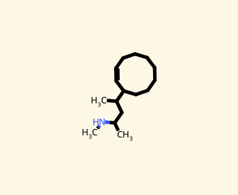 CNC(C)CC(C)C1/C=C\CCCCCCC1